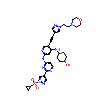 O=S(=O)(C1CC1)n1cc(-c2nccc(Nc3cc(NC4CCC(O)CC4)c(C#Cc4cnn(CCN5CCOCC5)c4)cn3)n2)cn1